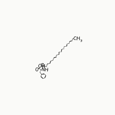 CCC=CCC=CCCC=CC=CCC=CCC=CCCC(=O)NC(Cc1ccccc1)C(=O)O